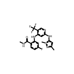 CNC(=O)c1ccc(F)cc1Nc1cc(Nc2cc(C)nn2C)ncc1C(F)(F)F